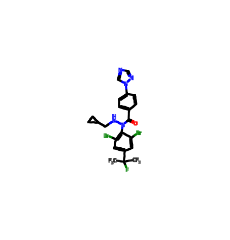 O=C(c1ccc(-n2cncn2)cc1)N(NCC1CC1)c1c(Br)cc(C(F)(C(F)(F)F)C(F)(F)F)cc1Br